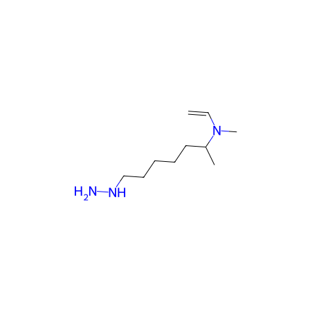 C=CN(C)C(C)CCCCCNN